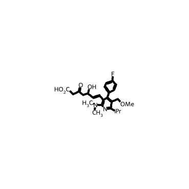 COCc1c(C(C)C)nc(N(C)C)c(/C=C/C(O)CC(=O)CC(=O)O)c1-c1ccc(F)cc1